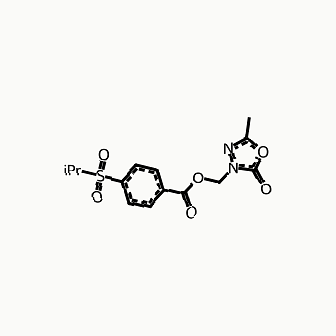 Cc1nn(COC(=O)c2ccc(S(=O)(=O)C(C)C)cc2)c(=O)o1